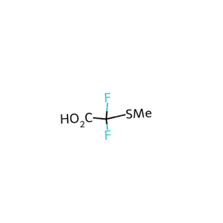 CSC(F)(F)C(=O)O